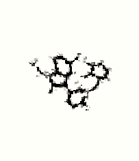 Cc1c(-c2ccc(=O)n(Cc3cccc(F)c3F)c2)c2cc(F)ccc2n1CC#N